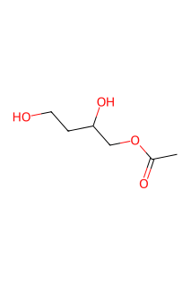 CC(=O)OCC(O)CCO